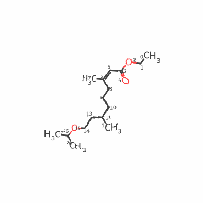 CCOC(=O)C=C(C)CCCC(C)CCOC(C)C